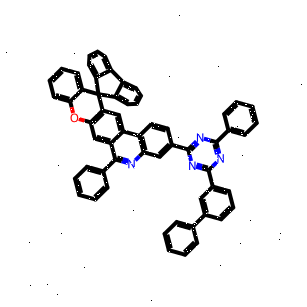 c1ccc(-c2cccc(-c3nc(-c4ccccc4)nc(-c4ccc5c(c4)nc(-c4ccccc4)c4cc6c(cc45)C4(c5ccccc5O6)c5ccccc5-c5ccccc54)n3)c2)cc1